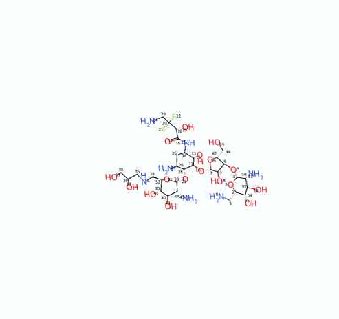 NC[C@@H]1O[C@H](O[C@H]2[C@@H](O)[C@H](O[C@@H]3[C@@H](O)[C@H](NC(=O)[C@@H](O)C(F)(F)CN)C[C@H](N)[C@H]3O[C@H]3O[C@H](CNCC(O)CO)[C@@H](O)[C@H](O)[C@H]3N)O[C@@H]2CO)[C@H](N)[C@@H](O)[C@@H]1O